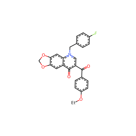 CCOc1ccc(C(=O)c2cn(Cc3ccc(F)cc3)c3cc4c(cc3c2=O)OCO4)cc1